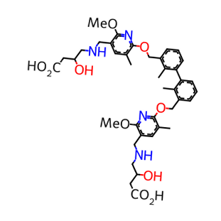 COc1nc(OCc2cccc(-c3cccc(COc4nc(OC)c(CNCC(O)CC(=O)O)cc4C)c3C)c2C)c(C)cc1CNCC(O)CC(=O)O